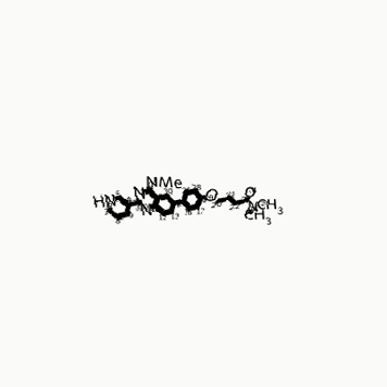 CNc1nc(C2=CNCC=C2)nc2ccc(-c3ccc(OCCCC(=O)N(C)C)cc3)cc12